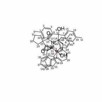 Cc1ccc(C(O)(c2ccc(C)cc2)[C@@H](Cc2ccccc2)N(C(=O)C2(C(N)=O)CCCC2)[C@H](Cc2ccccc2)C(O)(c2ccc(C)cc2)c2ccc(C)cc2)cc1